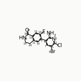 Nc1nc(Cl)c(Br)cc1-c1cc2c(cc1F)C(=O)NCC2